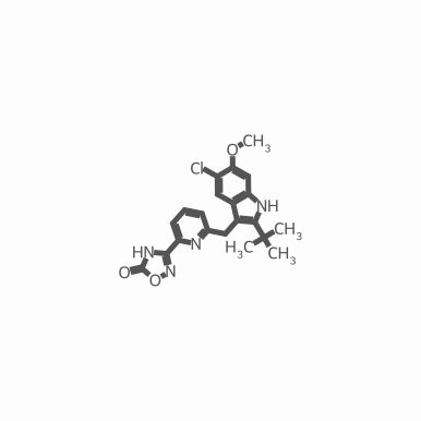 COc1cc2[nH]c(C(C)(C)C)c(Cc3cccc(-c4noc(=O)[nH]4)n3)c2cc1Cl